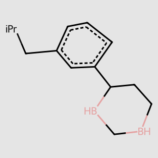 CC(C)Cc1cccc(C2BCBCC2)c1